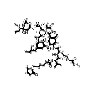 C=C[C@@H](OC)[C@@]1(O)C[C@@H](C[C@@H]2O[C@@]2(C)[C@H](CC(=O)N(C)c2cc(C/C(C)=C/C)cc(OC)c2Cl)OC(=O)[C@H](C)N(C)C(=O)c2ccc(NC(=O)[C@H](CCCNC(N)=O)NC(=O)[C@@H](NC(=O)CCCCCN3C(=O)C=CC3=O)C(C)C)cc2F)OC(=O)N1